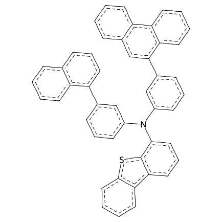 c1cc(-c2cccc3ccccc23)cc(N(c2cccc(-c3cc4ccccc4c4ccccc34)c2)c2cccc3c2sc2ccccc23)c1